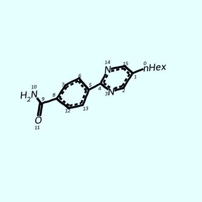 CCCCCCc1cnc(-c2ccc(C(N)=O)cc2)nc1